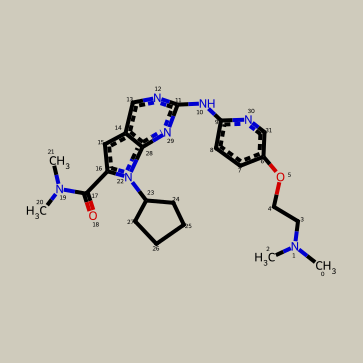 CN(C)CCOc1ccc(Nc2ncc3cc(C(=O)N(C)C)n(C4CCCC4)c3n2)nc1